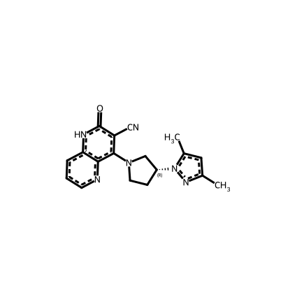 Cc1cc(C)n([C@@H]2CCN(c3c(C#N)c(=O)[nH]c4cccnc34)C2)n1